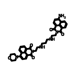 Nc1ccc2c3c(cccc13)C(=O)N(CCNCCCNCCN1C(=O)c3cccc4c(N5CCOCC5)ccc(c34)C1=O)C2=O